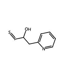 OC([C]=S)Cc1ccccn1